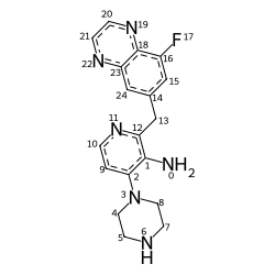 Nc1c(N2CCNCC2)ccnc1Cc1cc(F)c2nccnc2c1